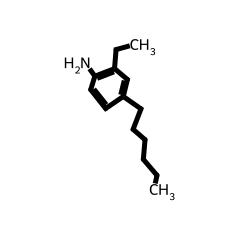 CCCCCCc1ccc(N)c(CC)c1